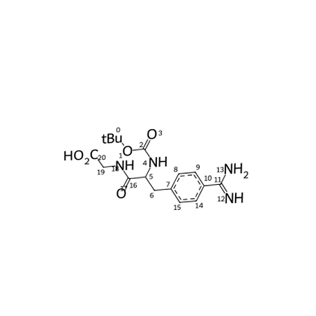 CC(C)(C)OC(=O)NC(Cc1ccc(C(=N)N)cc1)C(=O)NCC(=O)O